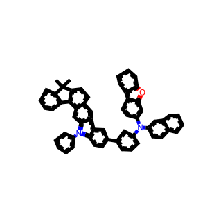 CC1(C)c2ccccc2-c2c1ccc1cc3c4cc(-c5cccc(N(c6ccc7ccccc7c6)c6ccc7c(c6)oc6ccccc67)c5)ccc4n(-c4ccccc4)c3cc21